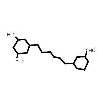 CC1CC(C)CC(CCCCCCC2CCCC(C=O)C2)C1